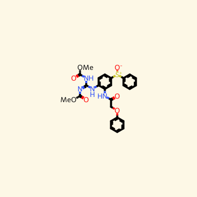 COC(=O)/N=C(/NC(=O)OC)Nc1ccc([S+]([O-])c2ccccc2)cc1NC(=O)COc1ccccc1